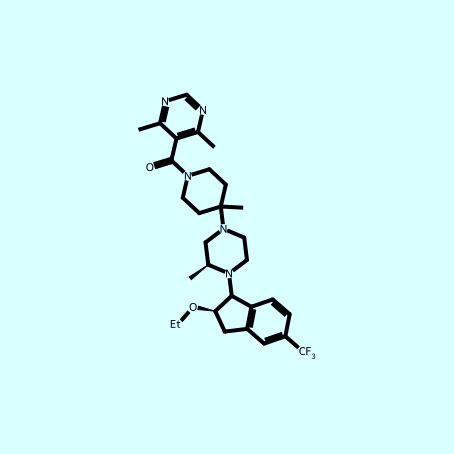 CCO[C@@H]1Cc2cc(C(F)(F)F)ccc2C1N1CCN(C2(C)CCN(C(=O)c3c(C)ncnc3C)CC2)C[C@@H]1C